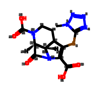 Cn1nnnc1SC1=C(C(=O)O)N2C(=O)[C@@H]3[C@H]2C1CCN3C(=O)O